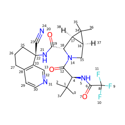 CC(C)(C)[C@H](NC(=O)C(F)(F)F)C(=O)N1C[C@H]2[C@@H]([C@H]1C(=O)N[C@@]1(C#N)CCCc3ccncc31)C2(C)C